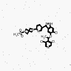 CC(Oc1cc2c(-c3ccc(N4CC5(C4)CN(S(C)(=O)=O)C5)nc3)n[nH]c2cc1Cl)c1c(Cl)cncc1Cl